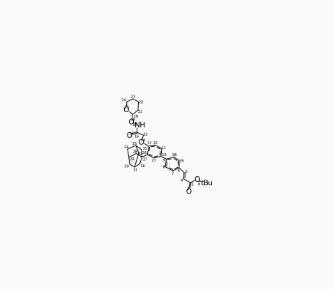 CC(C)(C)OC(=O)C=Cc1ccc(-c2ccc(OCC(=O)NOC3CCCCO3)c(C34CC5CC(CC(C5)C3)C4)c2)cc1